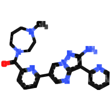 CN1CCCN(C(=O)c2cccc(-c3cnc4c(-c5ccccn5)c(N)nn4c3)n2)CC1